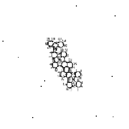 c1ccc2c(c1)-c1ccccc1C21c2ccccc2-c2c1cc1c3cccc4c5c(cc(c6cccc2c61)c43)C1(c2ccccc2-c2ccc(-n3c4ccccc4c4ccccc43)cc21)c1ccccc1-5